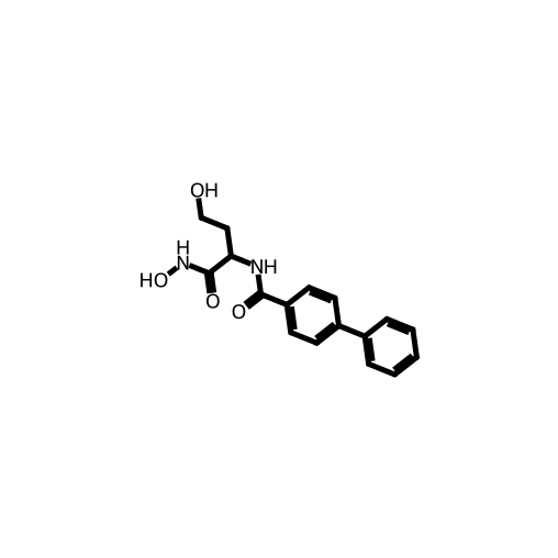 O=C(NC(CCO)C(=O)NO)c1ccc(-c2ccccc2)cc1